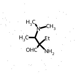 CCC(N)(C=O)C(C)N(C)C